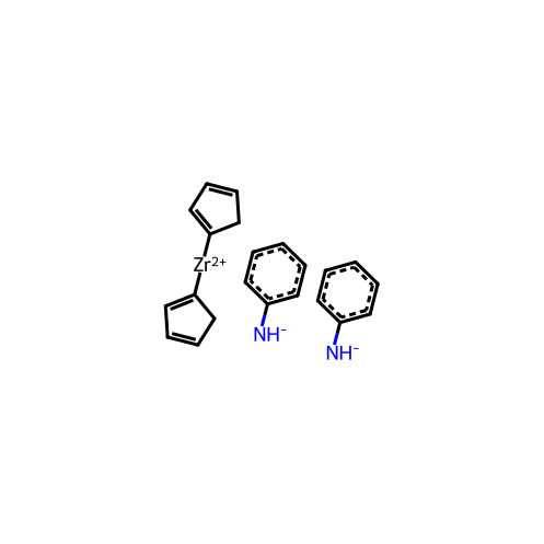 C1=CC[C]([Zr+2][C]2=CC=CC2)=C1.[NH-]c1ccccc1.[NH-]c1ccccc1